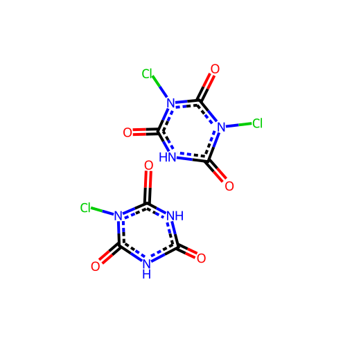 O=c1[nH]c(=O)n(Cl)c(=O)[nH]1.O=c1[nH]c(=O)n(Cl)c(=O)n1Cl